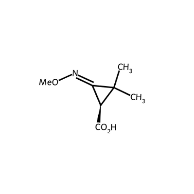 CO/N=C1\[C@H](C(=O)O)C1(C)C